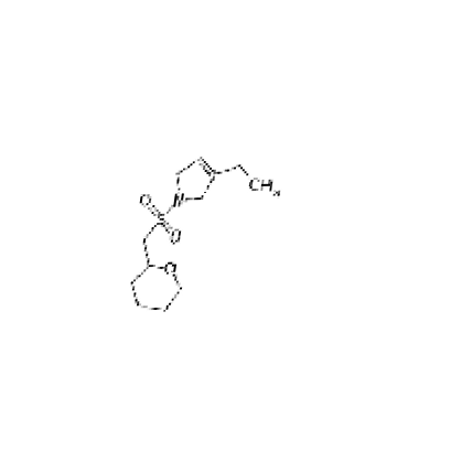 CCC1=CCN(S(=O)(=O)CC2CCCCO2)C1